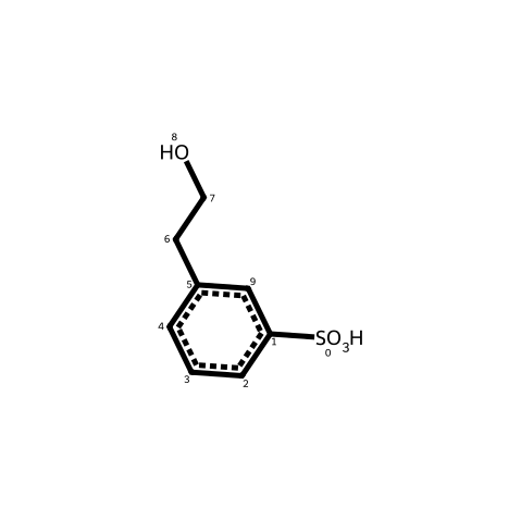 O=S(=O)(O)c1cccc(CCO)c1